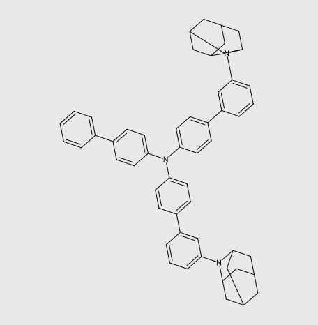 c1ccc(-c2ccc(N(c3ccc(-c4cccc(N5C6CC7CC(C6)CC5C7)c4)cc3)c3ccc(-c4cccc(N5C6CC7CC(C6)CC5C7)c4)cc3)cc2)cc1